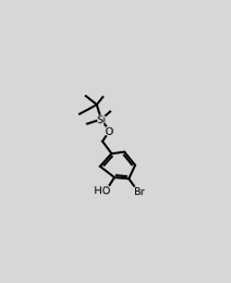 CC(C)(C)[Si](C)(C)OCc1ccc(Br)c(O)c1